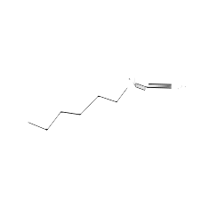 FCCCCCN=C=[Se]